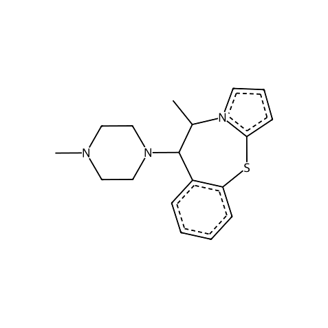 CC1C(N2CCN(C)CC2)c2ccccc2Sc2cccn21